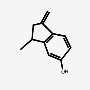 C=C1CC(C)c2cc(O)ccc21